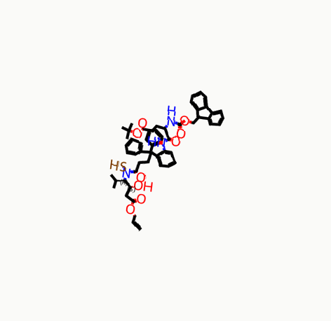 C=CCOC(=O)C[C@H](O)[C@@H](C(C)C)N(S)C(=O)CCC(c1ccccc1)(c1ccccc1)c1ccccc1NC(=O)C(CCC(=O)OC(C)(C)C)NC(=O)OCC1c2ccccc2-c2ccccc21